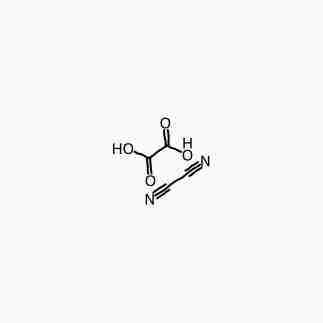 N#CC#N.O=C(O)C(=O)O